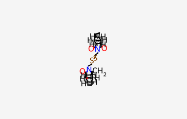 C=C1[C@H]2[C@H]3C=C[C@H]([C@@H]4C=C[C@@H]43)[C@H]2C(=O)N1CCSSCCN1C(=O)[C@@H]2[C@@H]3C=C[C@@H]([C@H]4C=C[C@H]43)[C@@H]2C1=O